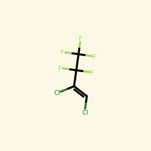 FC(F)(F)C(F)(F)C(Cl)=CCl